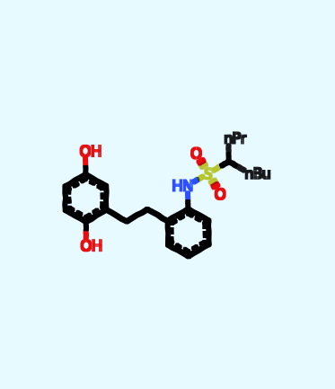 CCCCC(CCC)S(=O)(=O)Nc1ccccc1CCc1cc(O)ccc1O